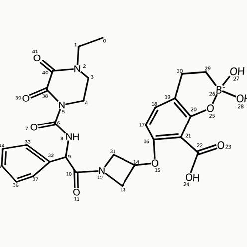 CCN1CCN(C(=O)NC(C(=O)N2CC(Oc3ccc4c(c3C(=O)O)O[B-](O)(O)CC4)C2)c2ccccc2)C(=O)C1=O